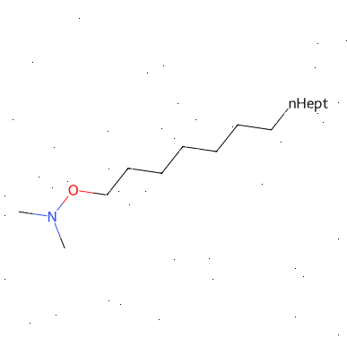 CCCCCCCCCCCCCCON(C)C